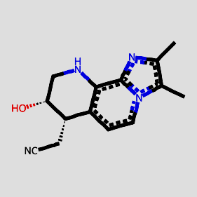 Cc1nc2c3c(ccn2c1C)[C@H](CC#N)[C@H](O)CN3